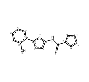 O=C(Nc1ccc(-c2ccccc2O)s1)c1cnoc1